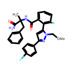 COCn1nc(-c2ccc(F)cc2)cc1-c1c(F)cccc1C(=O)NC(C)(Cc1ccccc1)C(N)=O